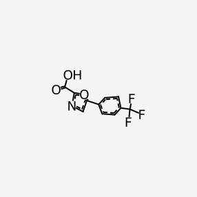 O=C(O)c1ncc(-c2ccc(C(F)(F)F)cc2)o1